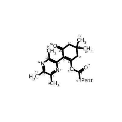 CCCCCC(=O)OC1=C(c2nc(C)c(C)nc2C)C(=O)CC(C)(C)C1